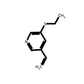 C=Cc1cncc(SCC)c1